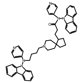 O=C(CCC1CCCC12CCN(CCCCN(c1ccncc1)n1c3ccccc3c3ccccc31)CC2)N(c1ccncc1)n1c2ccccc2c2ccccc21